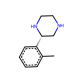 Cc1ccccc1[C@H]1CNCCN1